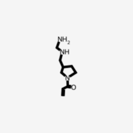 C=CC(=O)N1CCC(CNCN)C1